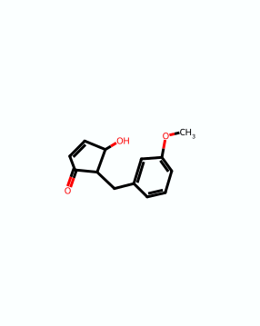 COc1cccc(CC2C(=O)C=CC2O)c1